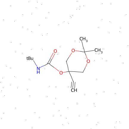 C#CC1(OC(=O)NC(C)(C)C)COC(C)(C)OC1